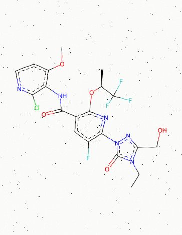 CCn1c(CO)nn(-c2nc(O[C@@H](C)C(F)(F)F)c(C(=O)Nc3c(OC)ccnc3Cl)cc2F)c1=O